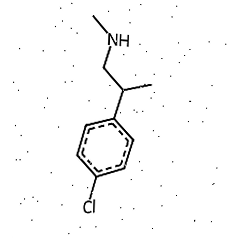 CNCC(C)c1ccc(Cl)cc1